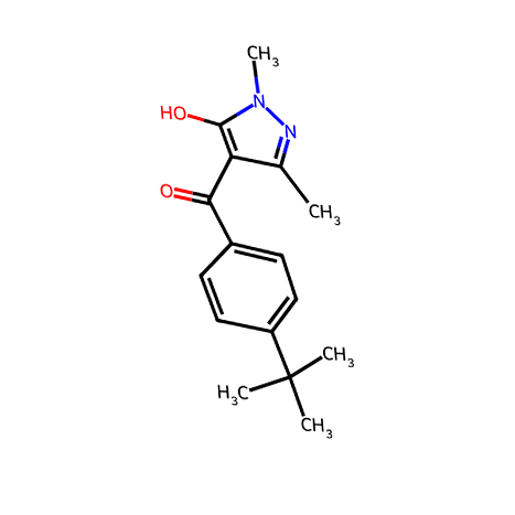 Cc1nn(C)c(O)c1C(=O)c1ccc(C(C)(C)C)cc1